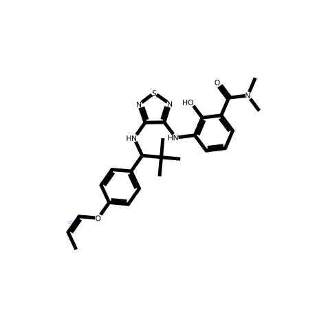 C/C=C\Oc1ccc(C(Nc2nsnc2Nc2cccc(C(=O)N(C)C)c2O)C(C)(C)C)cc1